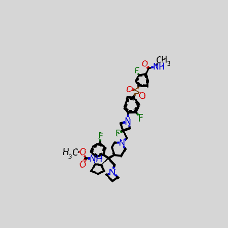 CNC(=O)c1ccc(S(=O)(=O)c2ccc(N3CC(F)(CN4CCC(C(CN5CCC5)(c5cccc(F)c5)[C@H]5CCC[C@@H]5NC(=O)OC)CC4)C3)c(F)c2)cc1F